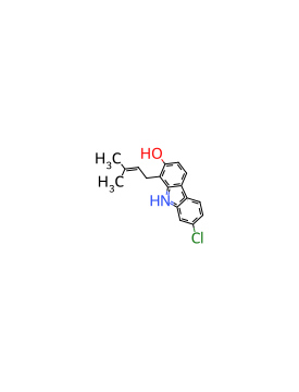 CC(C)=CCc1c(O)ccc2c1[nH]c1cc(Cl)ccc12